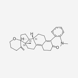 C=C1CCCOC12CC[C@H]1[C@@H]3CCC4=C(c5ccccc5N(C)C)C(=O)CCC4=C3CC[C@@]12C